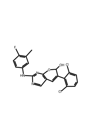 Cc1cc(Nc2ncc3c(n2)OC(O)C(c2c(Cl)cccc2Cl)=C3)ccc1F